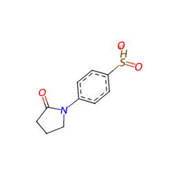 O=C1CCCN1c1ccc([SH](=O)=O)cc1